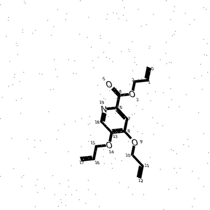 C=CCOC(=O)c1cc(OCC=C)c(OCC=C)cn1